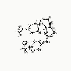 CS(=O)(=O)N1CCC(Nc2ncc3cccc(N4CCN(C5COC5)CC4)c3n2)CC1